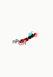 CCCC(O)c1ccc(COC2CC=C(c3ccc(-c4ccc(C5CO5)c(F)c4F)c(F)c3)CC2)c(F)c1F